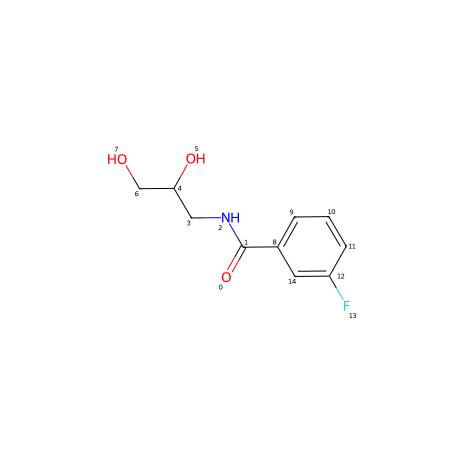 O=C(NCC(O)CO)c1cccc(F)c1